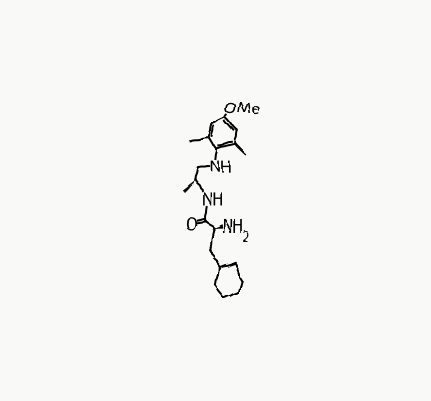 COc1cc(C)c(NC[C@H](C)NC(=O)[C@@H](N)CC2CCCCC2)c(C)c1